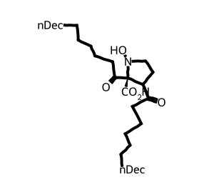 CCCCCCCCCCCCCCCC(=O)C1CCN(O)[C@@]1(C(=O)O)C(=O)CCCCCCCCCCCCCCC